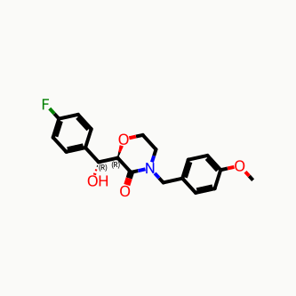 COc1ccc(CN2CCO[C@H]([C@H](O)c3ccc(F)cc3)C2=O)cc1